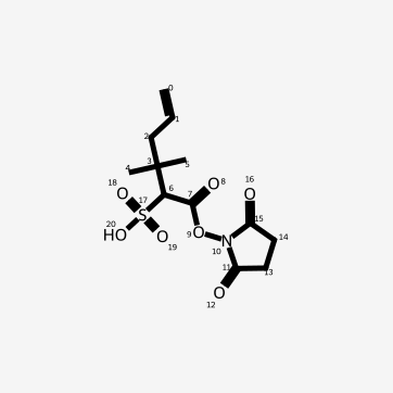 C=CCC(C)(C)C(C(=O)ON1C(=O)CCC1=O)S(=O)(=O)O